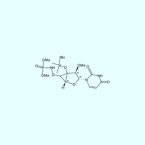 CO[C@H]1[C@H](n2ccc(=O)[nH]c2=O)O[C@@H]2C(ONP(=O)(OC)OC)C21O[Si](C)(C)C(C)(C)C